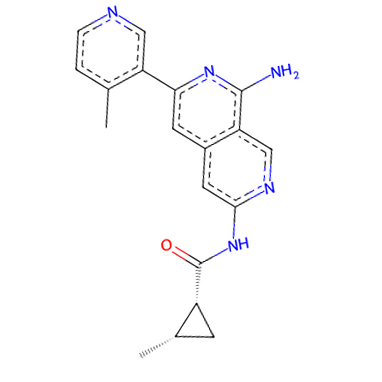 Cc1ccncc1-c1cc2cc(NC(=O)[C@@H]3C[C@@H]3C)ncc2c(N)n1